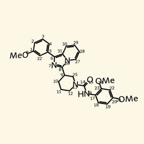 COc1cccc(-c2nc(C3CCCN(C(=O)Nc4ccc(OC)cc4OC)C3)n3ccccc23)c1